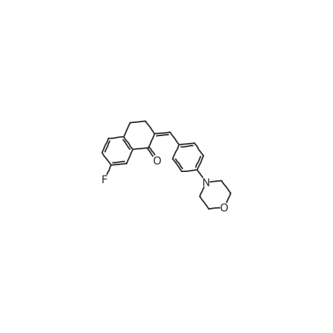 O=C1C(=Cc2ccc(N3CCOCC3)cc2)CCc2ccc(F)cc21